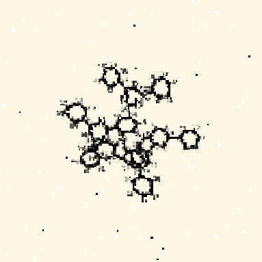 c1ccc(-c2ccc3c(c2)c2cc(-c4ccccc4)ccc2n3-c2cc(-c3nc(-c4ccccc4)cc(-c4ccccc4)n3)cc(-c3nc(-c4ccccc4)cc(-c4ccccc4)n3)c2-n2c3ccccc3c3ccccc32)cc1